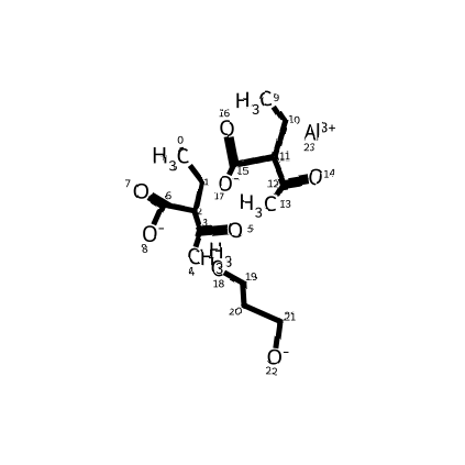 CCC(C(C)=O)C(=O)[O-].CCC(C(C)=O)C(=O)[O-].CCCC[O-].[Al+3]